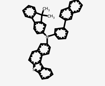 CC1(C)c2ccccc2-c2ccc(N(c3cccc(-c4ccc5ccccc5c4)c3)c3ccc4c(ccc5sc6ccccc6c54)c3)cc21